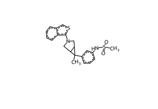 CC1(c2cccc(NS(C)(=O)=O)c2)C2CN(c3scc4ccccc34)CC21